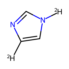 [2H]c1cn([2H])cn1